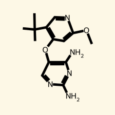 COc1cc(Oc2cnc(N)nc2N)c(C(C)(C)C)cn1